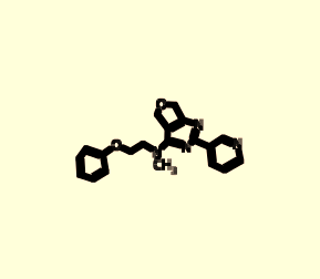 CN(CCOc1ccccc1)c1nc(-c2cccnc2)nc2c1COC2